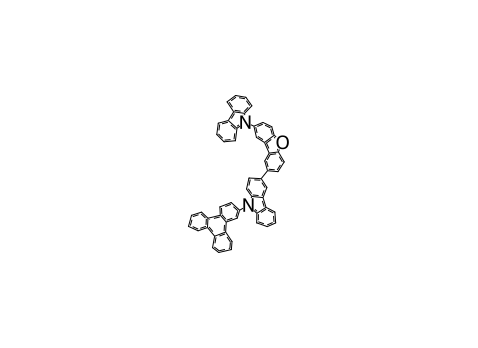 c1ccc2c(c1)c1ccccc1c1cc(-n3c4ccccc4c4cc(-c5ccc6oc7ccc(-n8c9ccccc9c9ccccc98)cc7c6c5)ccc43)ccc21